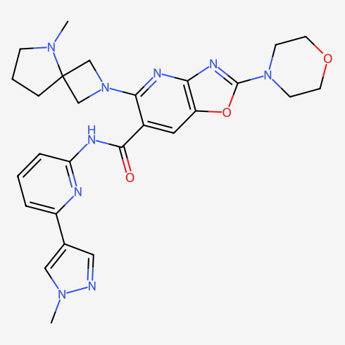 CN1CCCC12CN(c1nc3nc(N4CCOCC4)oc3cc1C(=O)Nc1cccc(-c3cnn(C)c3)n1)C2